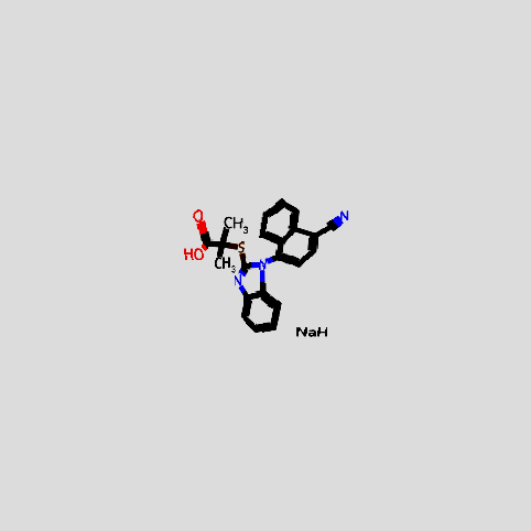 CC(C)(Sc1nc2ccccc2n1-c1ccc(C#N)c2ccccc12)C(=O)O.[NaH]